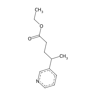 CCOC(=O)CCC(C)c1cccnc1